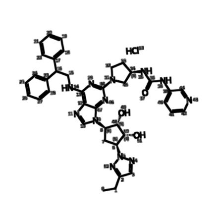 CCc1cnn([C@H]2C[C@@H](n3cnc4c(NCC(c5ccccc5)c5ccccc5)nc(N5CC[C@@H](NC(=O)Nc6cccnc6)C5)nc43)[C@H](O)[C@@H]2O)n1.Cl